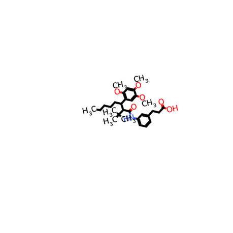 CCCCCC(c1cc(OC)c(OC)cc1OC)C(C(=O)Nc1cccc(CCC(=O)O)c1)C(C)(C)C